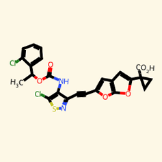 CC(OC(=O)Nc1c(C#Cc2cc3cc(C4(C(=O)O)CC4)oc3o2)nsc1Cl)c1ccccc1Cl